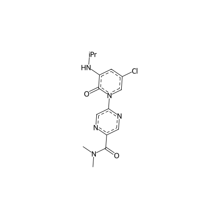 CC(C)Nc1cc(Cl)cn(-c2cnc(C(=O)N(C)C)cn2)c1=O